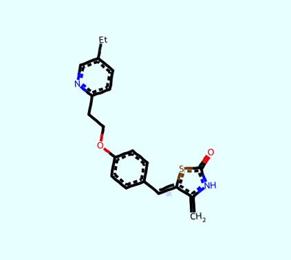 C=c1[nH]c(=O)s/c1=C\c1ccc(OCCc2ccc(CC)cn2)cc1